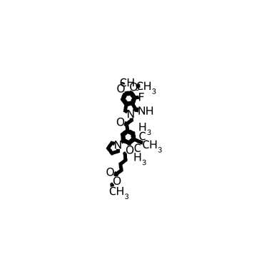 CCOC(=O)CCCCOc1c(N2CCCC2)cc(C(=O)CN2Cc3cc(OC)c(OC)c(F)c3C2=N)cc1C(C)(C)C